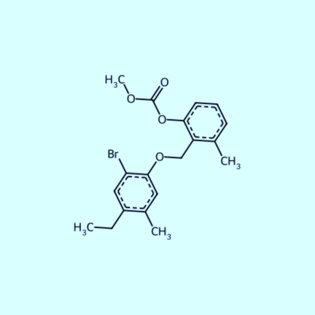 CCc1cc(Br)c(OCc2c(C)cccc2OC(=O)OC)cc1C